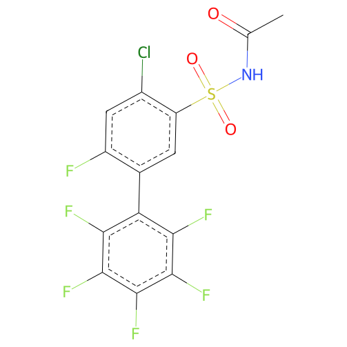 CC(=O)NS(=O)(=O)c1cc(-c2c(F)c(F)c(F)c(F)c2F)c(F)cc1Cl